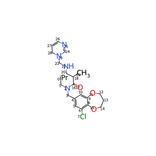 CC(C)CN(Cc1cc(Cl)c2c(c1)OCCCO2)C(=O)C(C)CNCN1C=NC=CC1